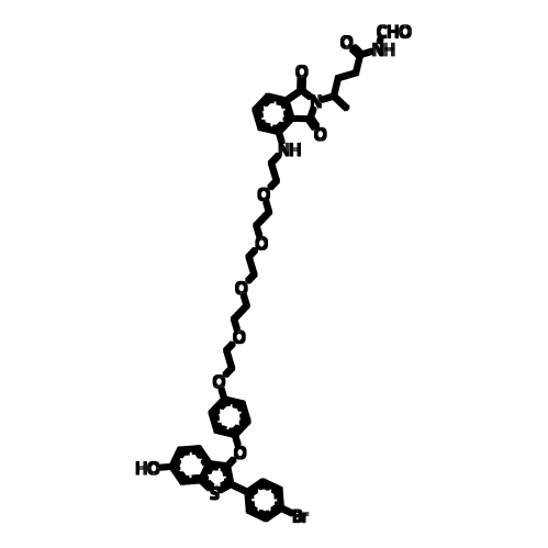 CC(CCC(=O)NC=O)N1C(=O)c2cccc(NCCOCCOCCOCCOCCOc3ccc(Oc4c(-c5ccc(Br)cc5)sc5cc(O)ccc45)cc3)c2C1=O